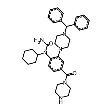 NC(=O)N(c1ccc(C(=O)N2CCNCC2)cc1N1CCN(C(c2ccccc2)c2ccccc2)CC1)C1CCCCC1